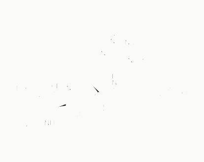 CC1(C)CCN[C@@H]1C(=O)N1CCC[C@H]1C(=O)NCc1cc(Cl)ccc1-n1cnnn1